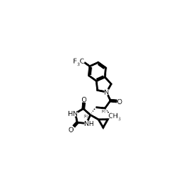 C[C@H](C[C@]1(C2CC2)NC(=O)NC1=O)C(=O)N1Cc2ccc(C(F)(F)F)cc2C1